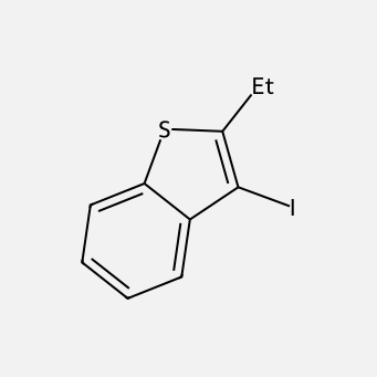 CCc1sc2ccccc2c1I